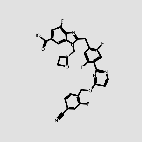 N#Cc1ccc(COc2ccnc(-c3cc(F)c(Cc4nc5c(F)cc(C(=O)O)cc5n4C[C@@H]4CCO4)cc3F)n2)c(F)c1